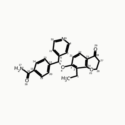 CCc1c(O[C@@H](c2ccncc2)c2ccc(C(N)=O)cc2)ccc2c1OCCC2=O